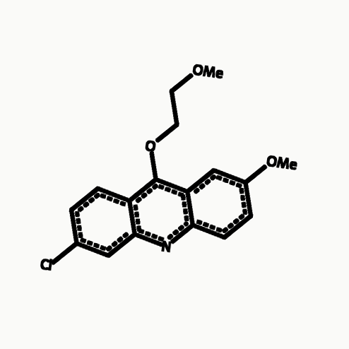 COCCOc1c2ccc(Cl)cc2nc2ccc(OC)cc12